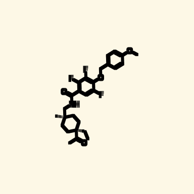 CC[C@]1(C(C)=O)CC[C@@](C)(CNC(=O)c2cc(F)c(OCc3ccc(OC)cc3)c(F)c2F)CC1